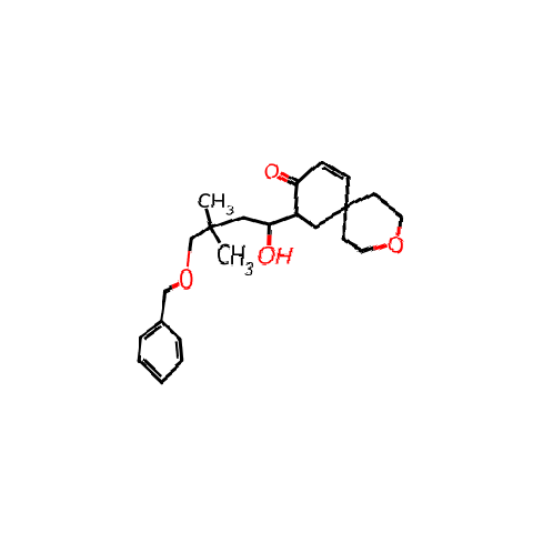 CC(C)(COCc1ccccc1)CC(O)C1CC2(C=CC1=O)CCOCC2